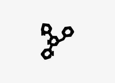 c1ccc(Cc2cc(-c3ccccn3)nc(-c3ccccn3)c2)cc1